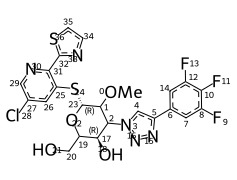 COC1C(n2cc(-c3cc(F)c(F)c(F)c3)nn2)[C@@H](O)C(CO)O[C@@H]1Sc1cc(Cl)cnc1-c1nccs1